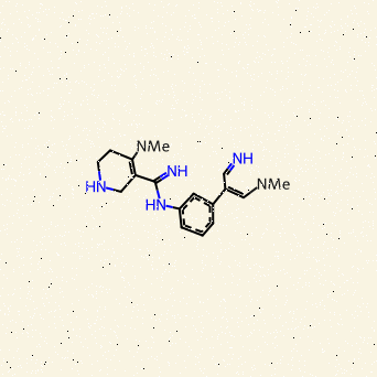 CN/C=C(\C=N)c1cccc(NC(=N)C2=C(NC)CCNC2)c1